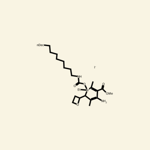 CCCCCCCCCCCCCCCCCCNC(=O)O[N+]1(CC)C(C)=C(C(=O)OC)C(N)=C(C)C1C1CCO1.[I-]